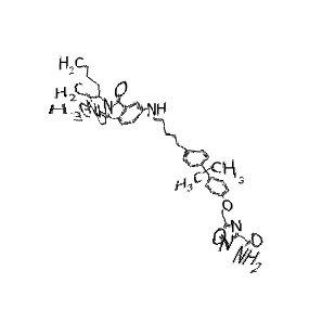 C=CCCC(C(=C)NC)N1C(=O)c2ccc(NCCCCc3ccc(C(C)(C)c4ccc(OCc5nc(C(N)=O)no5)cc4)cc3)cc2C1=O